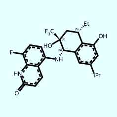 CC[C@H]1C[C@](O)(C(F)(F)F)[C@@H](Nc2ccc(F)c3[nH]c(=O)ccc23)c2cc(C(C)C)cc(O)c21